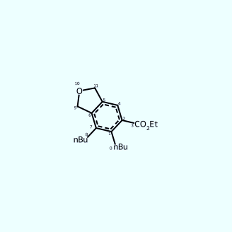 CCCCc1c(C(=O)OCC)cc2c(c1CCCC)COC2